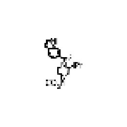 CC(C)C1CN(C(=O)O)CCN1C(=O)c1ccc2cc[nH]c2c1